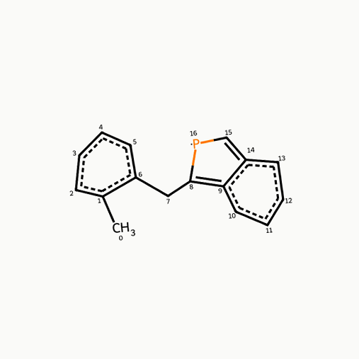 Cc1ccccc1CC1=c2ccccc2=C[P]1